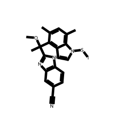 COC(C)(c1nc2cc(C#N)ccc2[nH]1)c1c(C)cc(C)c2c1ccn2SI